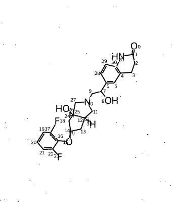 O=C1CCc2cc(C(O)CN3C[C@@H]4C[C@@H](Oc5c(F)cccc5F)C[C@]4(O)C3)ccc2N1